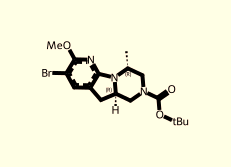 COc1nc2c(cc1Br)C[C@@H]1CN(C(=O)OC(C)(C)C)C[C@@H](C)N21